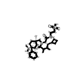 CC(CC1CCC1)C(C)C(=O)N(CC(=O)NCCS(C)(=O)=O)C[C@]1(C)CC[C@@](c2ccccc2)(N(C)C)CC1